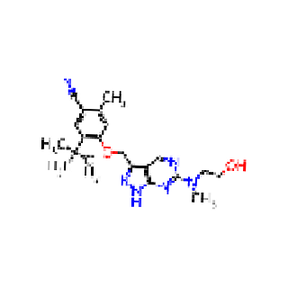 Cc1cc(OCc2n[nH]c3nc(N(C)CCO)ncc23)c(C(C)(C)C)cc1C#N